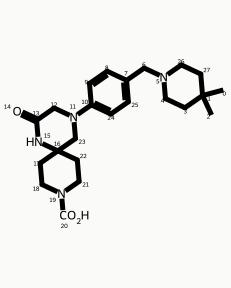 CC1(C)CCN(Cc2ccc(N3CC(=O)NC4(CCN(C(=O)O)CC4)C3)cc2)CC1